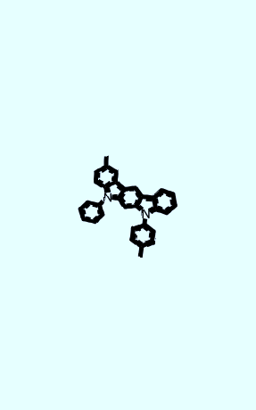 Cc1ccc(-n2c3ccccc3c3cc4c5cc(C)ccc5n(-c5ccccc5)c4cc32)cc1